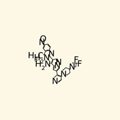 CCc1cc(N=O)ccc1/N=C(\N)c1cnn2cc(-c3cnccc3N3CCC(N4CC(F)(F)C4)CC3)cc2c1N